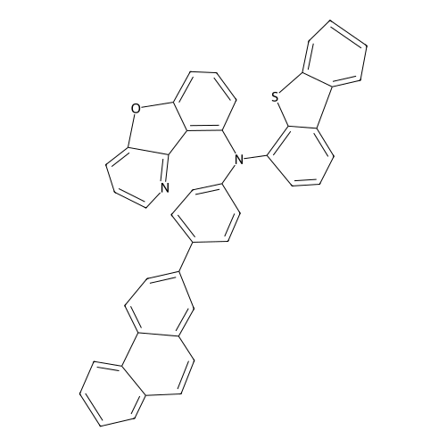 c1ccc2c(c1)ccc1cc(-c3ccc(N(c4cccc5c4sc4ccccc45)c4cccc5oc6cccnc6c45)cc3)ccc12